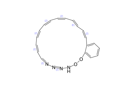 C1=C\C=C/C=N\N=N/NOOc2ccccc2\C=C/C=C/C=C\C=C/1